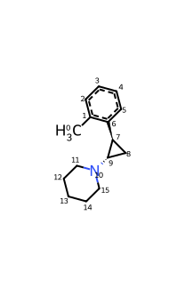 Cc1ccccc1[C@H]1C[C@@H]1N1CCCCC1